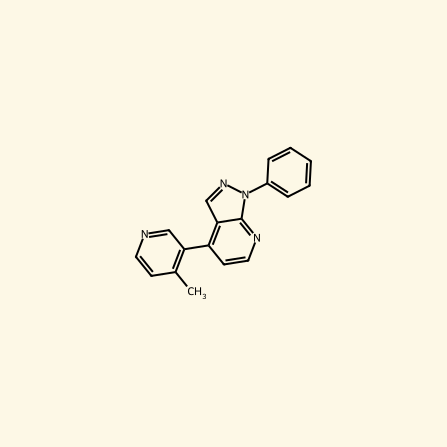 Cc1ccncc1-c1ccnc2c1cnn2-c1ccccc1